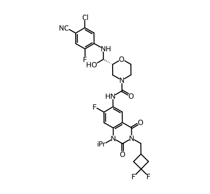 CC(C)n1c(=O)n(CC2CC(F)(F)C2)c(=O)c2cc(NC(=O)N3CCO[C@@H](C(O)Nc4cc(Cl)c(C#N)cc4F)C3)c(F)cc21